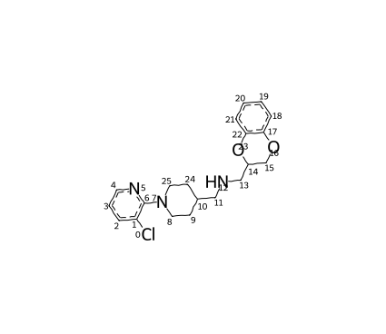 Clc1cccnc1N1CCC(CNCC2COc3ccccc3O2)CC1